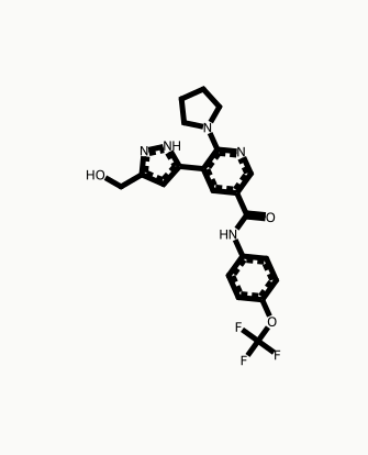 O=C(Nc1ccc(OC(F)(F)F)cc1)c1cnc(N2CCCC2)c(-c2cc(CO)n[nH]2)c1